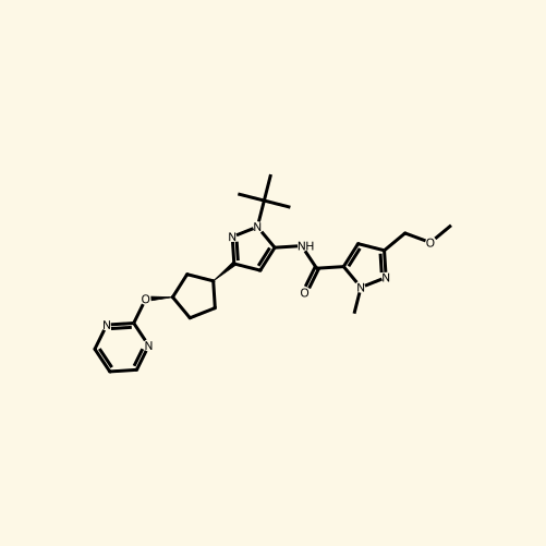 COCc1cc(C(=O)Nc2cc([C@H]3CC[C@@H](Oc4ncccn4)C3)nn2C(C)(C)C)n(C)n1